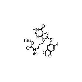 CC(C)N(CCCn1c(Sc2cc3c(cc2I)OCO3)nc2c(=O)[nH]cnc21)C(=O)OC(C)(C)C